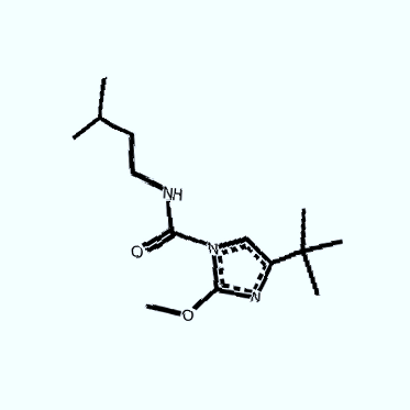 COc1nc(C(C)(C)C)cn1C(=O)NCCC(C)C